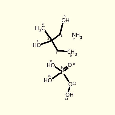 CCC(C)(O)CO.N.O=P(O)(O)OO